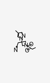 CCS(=O)(=O)N1CC(CC#N)(n2cc(C)cn2)C1